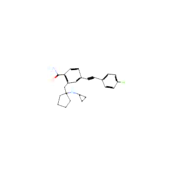 NC(=O)c1ccc(C#Cc2ccc(F)cc2)cc1CC1(NC2CC2)CCCC1